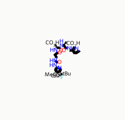 COc1cc(NC(=O)NCCC(=O)N[C@@H](CC(=O)O)C(=O)N[C@@H](CC(=O)O)C(=O)NCc2cccnc2)ncc1[Si](F)(C(C)(C)C)C(C)(C)C